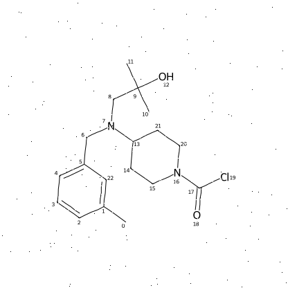 Cc1cccc(CN(CC(C)(C)O)C2CCN(C(=O)Cl)CC2)c1